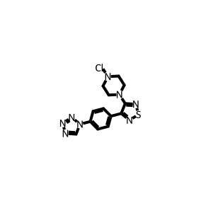 ClN1CCN(c2nsnc2-c2ccc(-n3cnnn3)cc2)CC1